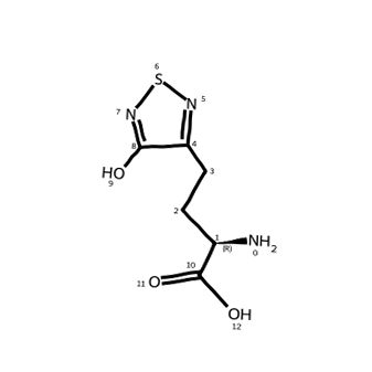 N[C@H](CCc1nsnc1O)C(=O)O